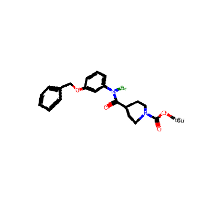 CC(C)(C)OC(=O)N1CCC(C(=O)N(Br)c2cccc(OCc3ccccc3)c2)CC1